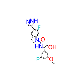 CCOc1cc(F)cc(C(CO)NC(=O)N2CCc3cc(-c4cn[nH]c4)c(F)cc32)c1